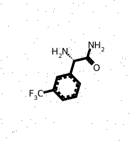 NC(=O)[C@@H](N)c1cccc(C(F)(F)F)c1